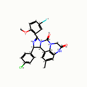 COc1ccc(F)cc1C1=NC(c2ccc(Cl)cc2)C2c3cc(C)cc4c3N(CC(=O)N4)C(=O)N12